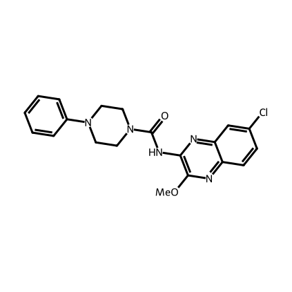 COc1nc2ccc(Cl)cc2nc1NC(=O)N1CCN(c2ccccc2)CC1